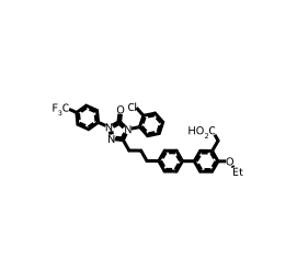 CCOc1ccc(-c2ccc(CCCc3nn(-c4ccc(C(F)(F)F)cc4)c(=O)n3-c3ccccc3Cl)cc2)cc1CC(=O)O